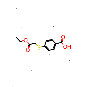 CCOC(=O)CSc1ccc(C(=O)O)cc1